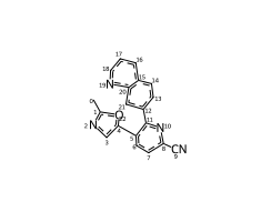 Cc1ncc(-c2ccc(C#N)nc2-c2ccc3cccnc3c2)o1